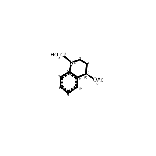 CC(=O)O[C@@H]1CCN(C(=O)O)c2ccccc21